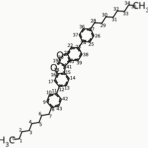 CCCCCCCCc1ccc(-c2ccc3c(c2)oc2oc4cc(-c5ccc(CCCCCCCC)cc5)ccc4c23)cc1